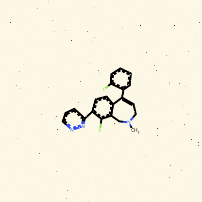 CN1CC=C(c2ccccc2F)c2ccc(-c3cccnn3)c(F)c2C1